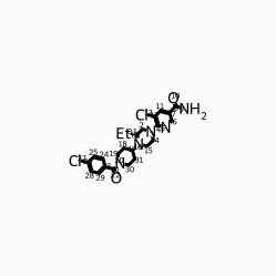 CC[C@H]1CN(c2ncc(C(N)=O)cc2Cl)CCN1C1CCN(C(=O)c2ccc(Cl)cc2)CC1